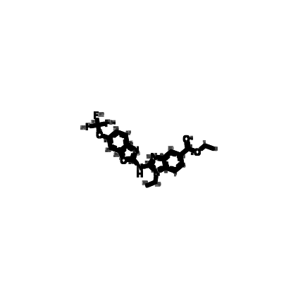 CCOC(=O)c1ccc2c(c1)nc(Nc1nc3ccc(OC(F)(F)F)cc3o1)n2CC